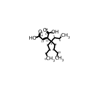 CCCCC(CCC)(CCCC)/C(=C/C(=O)O)C(=O)O